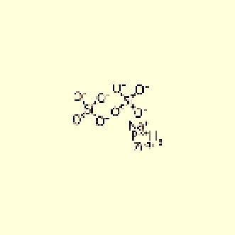 [Na+].[O-][Si]([O-])([O-])[O-].[O-][Si]([O-])([O-])[O-].[PH6+3].[Zr+4]